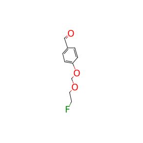 O=Cc1ccc(OCOCCF)cc1